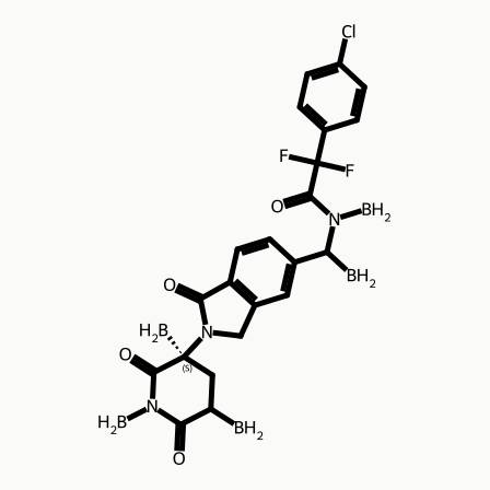 BC1C[C@](B)(N2Cc3cc(C(B)N(B)C(=O)C(F)(F)c4ccc(Cl)cc4)ccc3C2=O)C(=O)N(B)C1=O